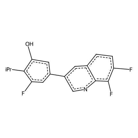 CC(C)c1c(O)cc(-c2cnc3c(F)c(F)ccc3c2)cc1F